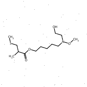 CON(CCO)CCCCCOC(=O)C(C)CSC